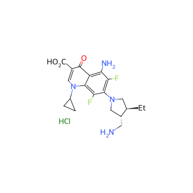 CC[C@@H]1CN(c2c(F)c(N)c3c(=O)c(C(=O)O)cn(C4CC4)c3c2F)C[C@H]1CN.Cl